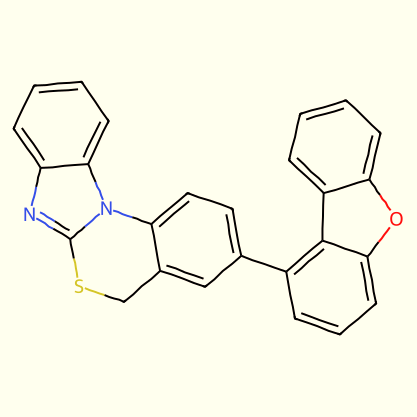 c1ccc2c(c1)nc1n2-c2ccc(-c3cccc4oc5ccccc5c34)cc2CS1